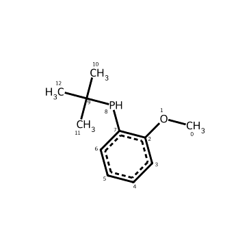 COc1ccccc1PC(C)(C)C